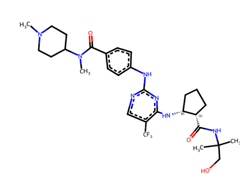 CN1CCC(N(C)C(=O)c2ccc(Nc3ncc(C(F)(F)F)c(N[C@@H]4CCC[C@@H]4C(=O)NC(C)(C)CO)n3)cc2)CC1